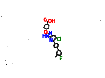 Cc1cc(-c2ccc(-c3nc4[nH]c(O[C@H]5CC[C@H](C(=O)O)CC5)nc4cc3Cl)cc2)ccc1F